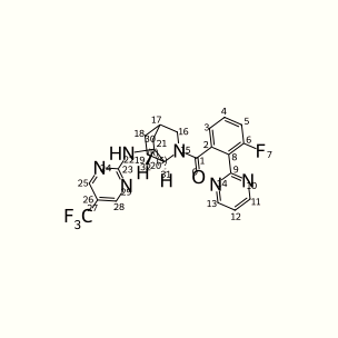 O=C(c1cccc(F)c1-c1ncccn1)N1CC2CC[C@H]1[C@H](Nc1ncc(C(F)(F)F)cn1)C2